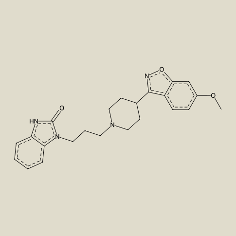 COc1ccc2c(C3CCN(CCCn4c(=O)[nH]c5ccccc54)CC3)noc2c1